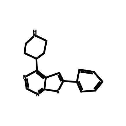 c1ccc(-c2cc3c(C4CCNCC4)ncnc3s2)cc1